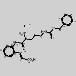 Cl.N[C@@H](CCCNC(=O)OCc1ccccc1)C(=O)Nc1ccccc1C=CC(=O)O